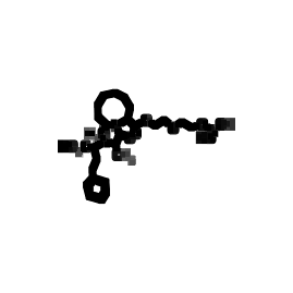 CC(NC(CCc1ccccc1)C(=O)O)C(=O)N1C(C)CCCCCCC1C(=O)OCCOCCON(O)O